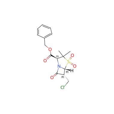 CC1(C)[C@H](C(=O)OCc2ccccc2)N2C(=O)[C@@H](CCl)[C@H]2S1(=O)=O